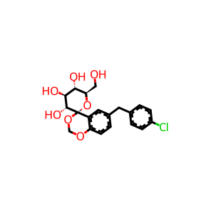 OC[C@H]1O[C@]2(OCOc3ccc(Cc4ccc(Cl)cc4)cc32)[C@H](O)[C@@H](O)[C@@H]1O